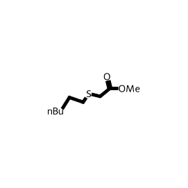 CCCCCCSCC(=O)OC